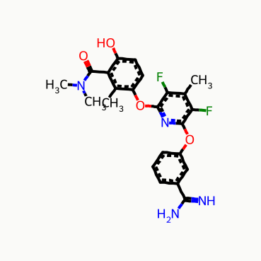 Cc1c(F)c(Oc2cccc(C(=N)N)c2)nc(Oc2ccc(O)c(C(=O)N(C)C)c2C)c1F